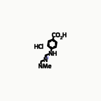 CNC/N=C/Nc1ccc(C(=O)O)cc1.Cl